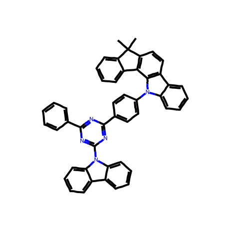 CC1(C)c2ccccc2-c2c1ccc1c3ccccc3n(-c3ccc(-c4nc(-c5ccccc5)nc(-n5c6ccccc6c6ccccc65)n4)cc3)c21